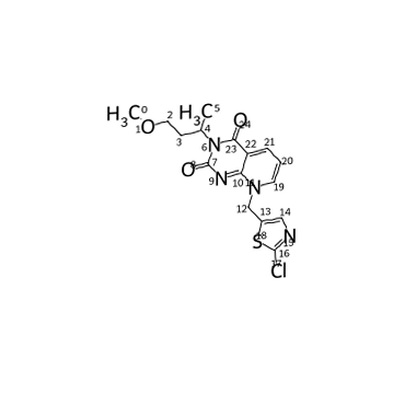 COCCC(C)n1c(=O)nc2n(Cc3cnc(Cl)s3)cccc-2c1=O